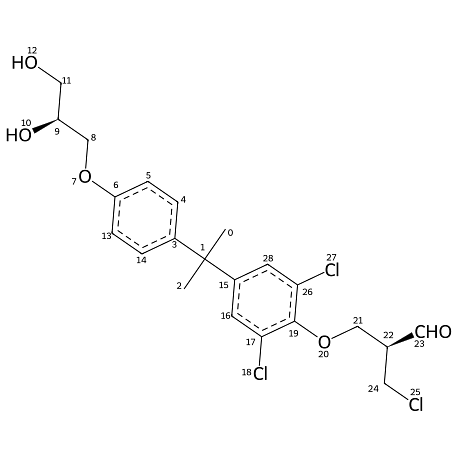 CC(C)(c1ccc(OC[C@@H](O)CO)cc1)c1cc(Cl)c(OC[C@@H](C=O)CCl)c(Cl)c1